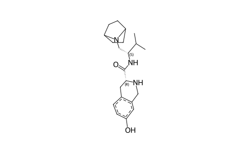 CC(C)[C@@H](CN1C2CCC1CC2)NC(=O)[C@H]1Cc2ccc(O)cc2CN1